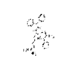 NC(=O)[C@H](NC(=O)[C@@H](CCCN=C(N)N)NC(=O)C(c1ccccc1)c1ccccc1)c1ccccc1